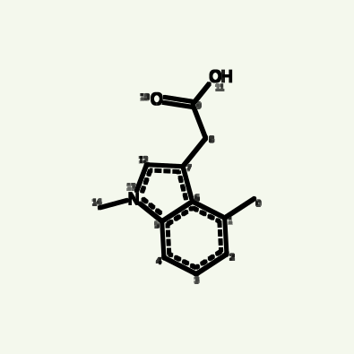 Cc1cccc2c1c(CC(=O)O)cn2C